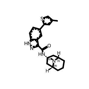 Cc1csc(-c2ccc3[nH]nc(C(=O)N[C@H]4C[C@H]5CCC[C@@H](C4)N5C)c3c2)c1